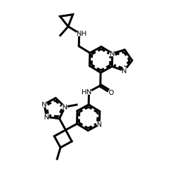 CC1CC(c2cncc(NC(=O)c3cc(CNC4(C)CC4)cn4ccnc34)c2)(c2nncn2C)C1